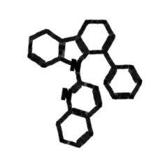 C1=Cc2ccc(-n3c4c(c5c3C(c3ccccc3)=CCC5)CCC=C4)nc2CC1